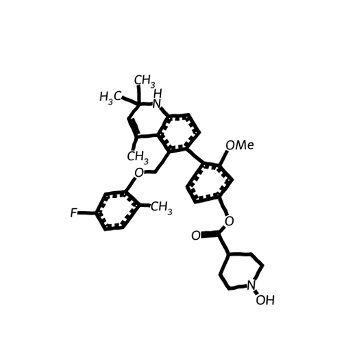 COc1cc(OC(=O)C2CCN(O)CC2)ccc1-c1ccc2c(c1COc1cc(F)ccc1C)C(C)=CC(C)(C)N2